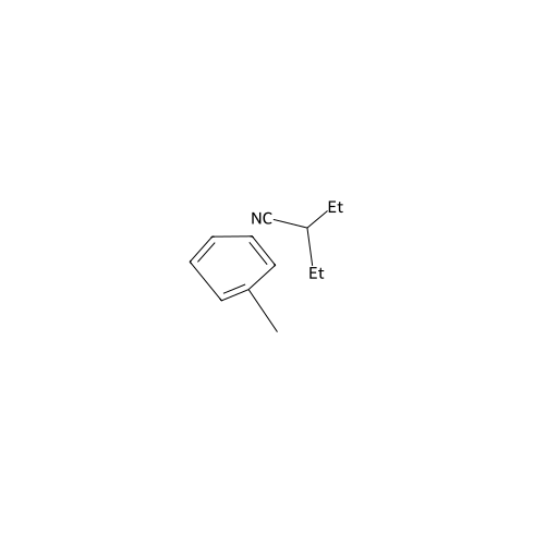 CCC(C#N)CC.Cc1ccccc1